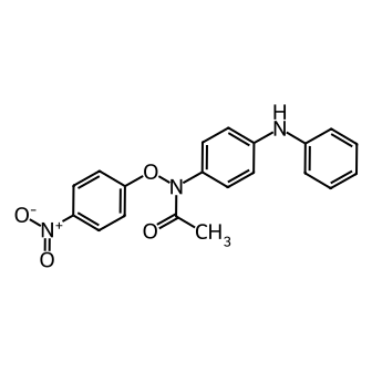 CC(=O)N(Oc1ccc([N+](=O)[O-])cc1)c1ccc(Nc2ccccc2)cc1